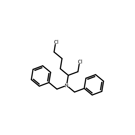 ClCCCC(CCl)N(Cc1ccccc1)Cc1ccccc1